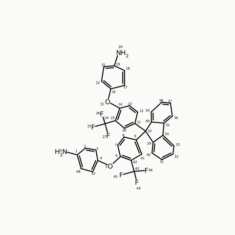 Nc1ccc(Oc2ccc(C3(c4ccc(Oc5ccc(N)cc5)c(C(F)(F)F)c4)c4ccccc4-c4ccccc43)cc2C(F)(F)F)cc1